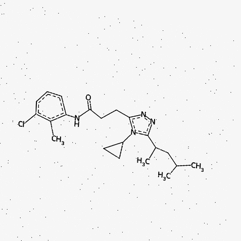 Cc1c(Cl)cccc1NC(=O)CCc1nnc(C(C)CC(C)C)n1C1CC1